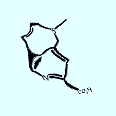 Cn1ccc2cnc(C(=O)O)cc21